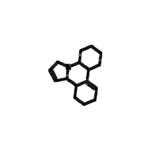 C1=CC2C3CCCC=C3C3CCCCC3N2C1